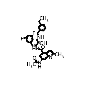 CCc1cccc(CNC[C@H](O)[C@H](Cc2cc(F)cc(F)c2)NC(=O)c2cc(NC(C)=O)cc3nc(C)ccc23)c1